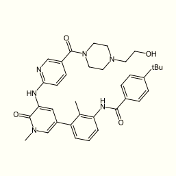 Cc1c(NC(=O)c2ccc(C(C)(C)C)cc2)cccc1-c1cc(Nc2ccc(C(=O)N3CCN(CCO)CC3)cn2)c(=O)n(C)c1